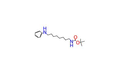 CC(C)(C)OC(=O)NCCCCCCCCNc1ccccc1